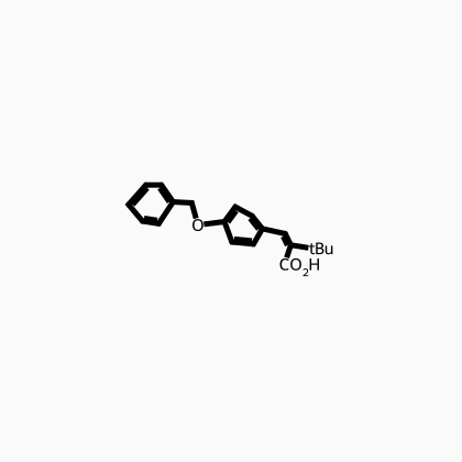 CC(C)(C)C(=Cc1ccc(OCc2ccccc2)cc1)C(=O)O